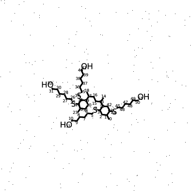 CC1CC(SCCCCCCO)C(C(C)CCC(C)C2CCC(C)C(SCCCCCCO)C2SCCCCCCO)CC1SCCCCCCO